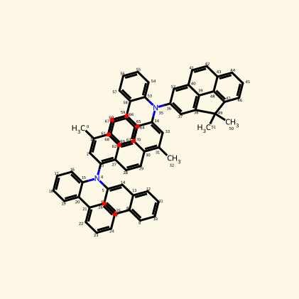 Cc1cc(N(c2ccc3ccccc3c2)c2ccccc2-c2ccccc2)c2ccc3c(C)cc(N(c4cc5c6c(ccc7cccc(c76)C5(C)C)c4)c4ccccc4-c4ccccc4)c4ccc1c2c34